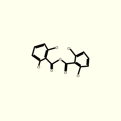 O=C(OC(=O)c1c(Cl)cccc1Cl)c1c(Cl)cccc1Cl